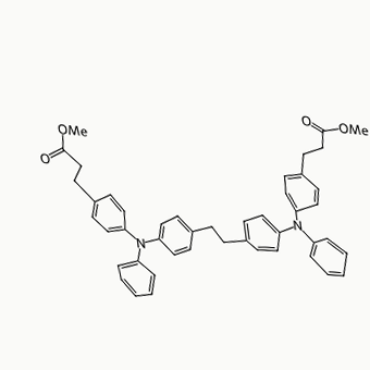 COC(=O)CCc1ccc(N(c2ccccc2)c2ccc(CCc3ccc(N(c4ccccc4)c4ccc(CCC(=O)OC)cc4)cc3)cc2)cc1